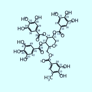 Cc1cc(C(=O)OCC2OCC(OC(=O)c3cc(O)c(O)c(O)c3)C(OC(=O)c3cc(O)c(O)c(O)c3)C2OC(=O)c2cc(O)c(O)c(O)c2)cc(O)c1O